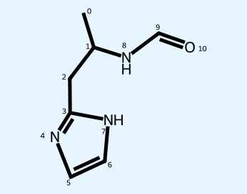 CC(Cc1ncc[nH]1)NC=O